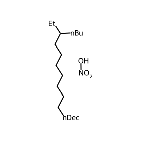 CCCCCCCCCCCCCCCCCC(CC)CCCC.O=[N+]([O-])O